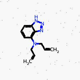 C=CCN(CC=C)c1cccc2[nH]nnc12